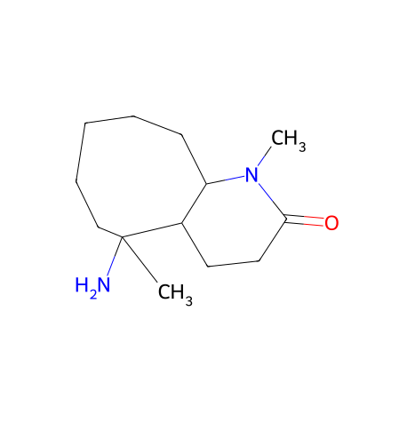 CN1C(=O)CCC2C1CCCCCC2(C)N